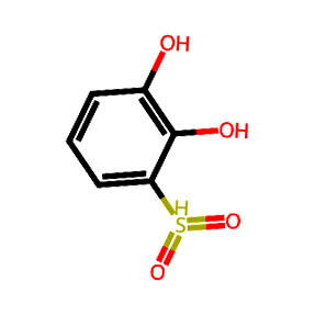 O=[SH](=O)c1cccc(O)c1O